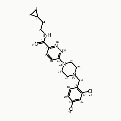 O=C(NCCC1CC1)c1ccc(N2CCN(Cc3ccc(Cl)cc3Cl)CC2)nn1